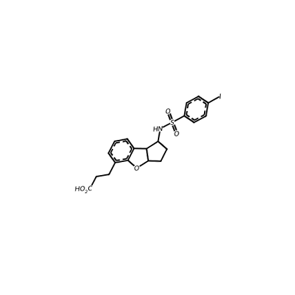 O=C(O)CCc1cccc2c1OC1CCC(NS(=O)(=O)c3ccc(I)cc3)C21